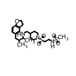 CC(Cc1ccc2c(c1)CCO2)C(C)NCC1CCN(S(=O)(=O)CCNS(C)(=O)=O)CC1